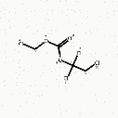 O=C(OCCl)OC(Cl)(Cl)CCl